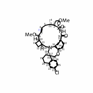 COC[C@@H]1[C@@H](C)C/C=C/[C@H](OC)[C@@H]2CC[C@H]2CN2C[C@@]3(CCCc4cc(Cl)ccc43)COc3ccc(cc32)C(=O)NS1(=O)=O